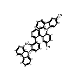 N#CC1=CC(c2ccccc2-c2cccc(-n3c4ccccc4c4ccccc43)c2C#N)C(n2c3ccccc3c3cc(C#N)ccc32)C=C1